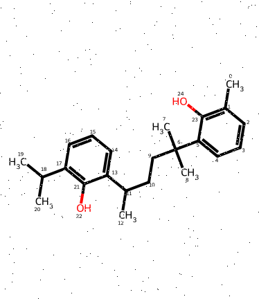 Cc1cccc(C(C)(C)CCC(C)c2cccc(C(C)C)c2O)c1O